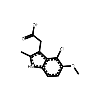 COc1ccc2[nH]c(C)c(CC(=O)O)c2c1Cl